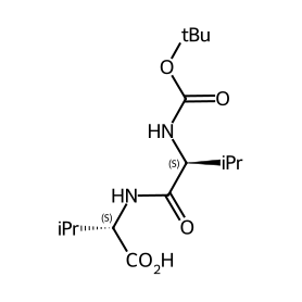 CC(C)[C@H](NC(=O)[C@@H](NC(=O)OC(C)(C)C)C(C)C)C(=O)O